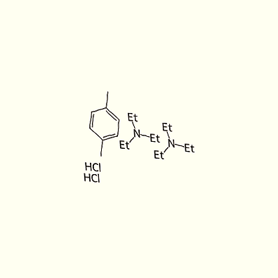 CCN(CC)CC.CCN(CC)CC.Cc1ccc(C)cc1.Cl.Cl